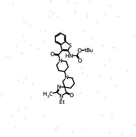 CCN1C(=O)C2(CCCN(C3CCN(C(=O)c4c(NC(=O)OC(C)(C)C)sc5ccccc45)CC3)C2)N=C1C